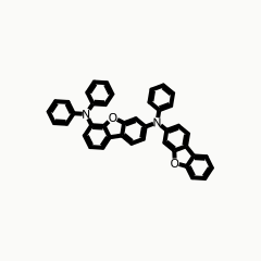 c1ccc(N(c2ccc3c(c2)oc2ccccc23)c2ccc3c(c2)oc2c(N(c4ccccc4)c4ccccc4)cccc23)cc1